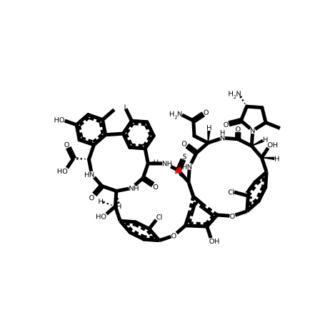 Cc1cc(O)cc2c1-c1cc(ccc1I)[C@H]1NC(=S)[C@@H]3NC(=O)[C@H](CC(N)=O)NC(=O)[C@H](N4C(=O)[C@H](N)CC4C)[C@H](O)c4ccc(c(Cl)c4)Oc4cc3cc(c4O)Oc3ccc(cc3Cl)[C@@H](O)[C@H](NC1=O)C(=O)N[C@@H]2C(=O)O